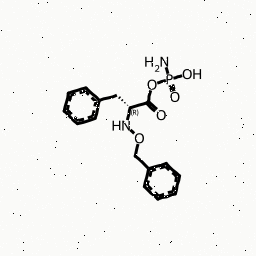 NP(=O)(O)OC(=O)[C@@H](Cc1ccccc1)NOCc1ccccc1